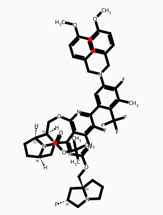 COc1ccc(CN(Cc2ccc(OC)cc2)c2cc(-c3nc4c5c(nc(OC[C@@]67CCCN6C[C@H](F)C7)nc5c3F)N3C[C@H]5CC[C@@H]([C@H]3CO4)N5C(=O)OC(C)(C)C)c(C(F)(F)F)c(C)c2F)cc1